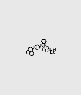 CCNC(=O)Cn1c(=O)n(C2CCN(C3CCC4CCc5cccc3c54)CC2)c2ccccc21